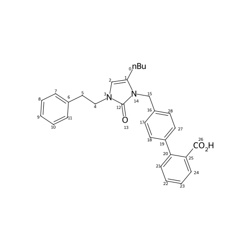 CCCCc1cn(CCc2ccccc2)c(=O)n1Cc1ccc(-c2ccccc2C(=O)O)cc1